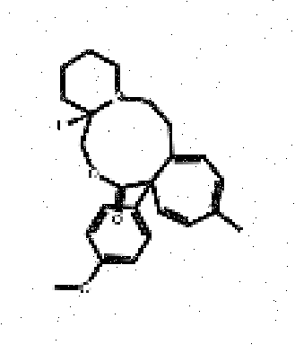 COc1ccc(C23C=CC(C)=CC=C2CCN2CCCC[C@H]2COC3=O)cc1